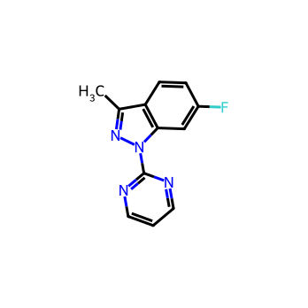 Cc1nn(-c2ncccn2)c2cc(F)ccc12